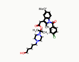 COc1ccc2c(c1)c(CC(=O)OC(C)(C)N1CCN(CCCCCO)CC1)c(C)n2C(=O)c1ccc(Cl)cc1